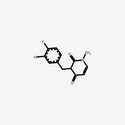 CN1C=CC(=O)C(Cc2ccc(F)c(Cl)c2)C1=O